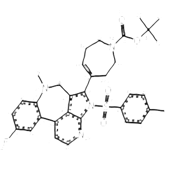 Cc1ccc(S(=O)(=O)n2c(C3=CCCN(C(=O)OC(C)(C)C)CC3)c3c4c(ccnc42)-c2cc(F)ccc2N(C)C3)cc1